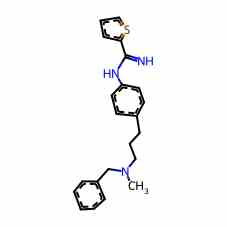 CN(CCCc1ccc(NC(=N)c2cccs2)cc1)Cc1ccccc1